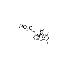 CC1=CC(C)=[N+]2Bn3c(ccc3CCC(=O)O)C=C12